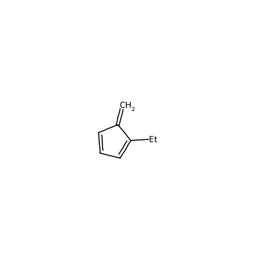 C=C1C=CC=C1CC